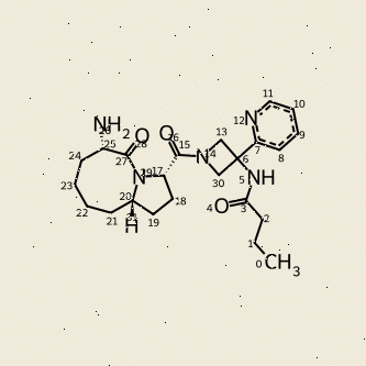 CCCC(=O)NC1(c2ccccn2)CN(C(=O)[C@@H]2CC[C@@H]3CCCC[C@H](N)C(=O)N32)C1